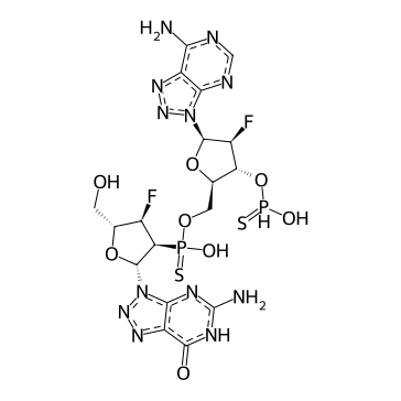 Nc1nc2c(nnn2[C@@H]2O[C@H](CO)[C@@H](F)[C@H]2P(O)(=S)OC[C@H]2O[C@@H](n3nnc4c(N)ncnc43)[C@@H](F)[C@@H]2O[PH](O)=S)c(=O)[nH]1